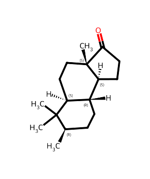 C[C@@H]1CC[C@@H]2[C@H](CC[C@]3(C)C(=O)CC[C@@H]23)C1(C)C